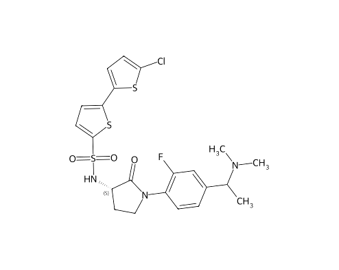 CC(c1ccc(N2CC[C@H](NS(=O)(=O)c3ccc(-c4ccc(Cl)s4)s3)C2=O)c(F)c1)N(C)C